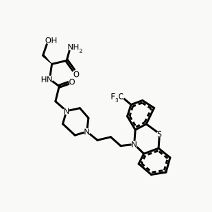 NC(=O)[C@H](CO)NC(=O)CN1CCN(CCCN2c3ccccc3Sc3ccc(C(F)(F)F)cc32)CC1